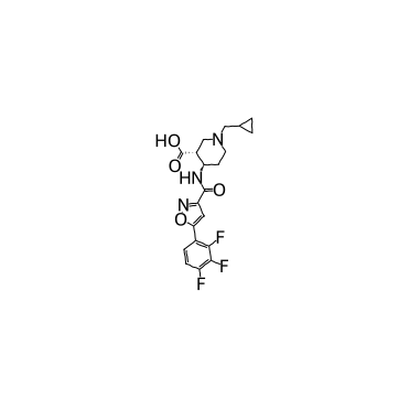 O=C(N[C@@H]1CCN(CC2CC2)C[C@H]1C(=O)O)c1cc(-c2ccc(F)c(F)c2F)on1